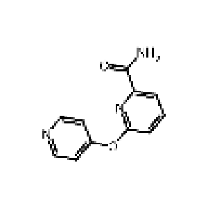 NC(=O)c1cccc(Oc2ccncc2)n1